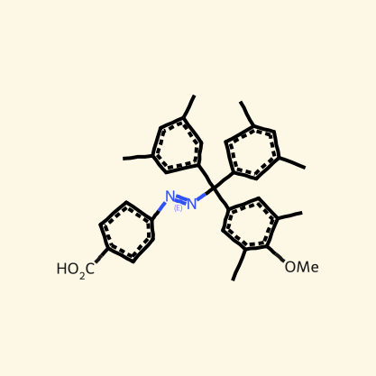 COc1c(C)cc(C(/N=N/c2ccc(C(=O)O)cc2)(c2cc(C)cc(C)c2)c2cc(C)cc(C)c2)cc1C